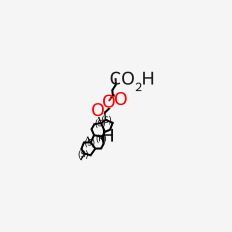 C[C@H]1CC[C@@]2(C)C(CC[C@@H]3C2CC[C@@]2(C)C3CC[C@@H]2C(=O)COC(=O)CCC(=O)O)C1